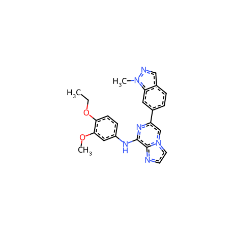 CCOc1ccc(Nc2nc(-c3ccc4cnn(C)c4c3)cn3ccnc23)cc1OC